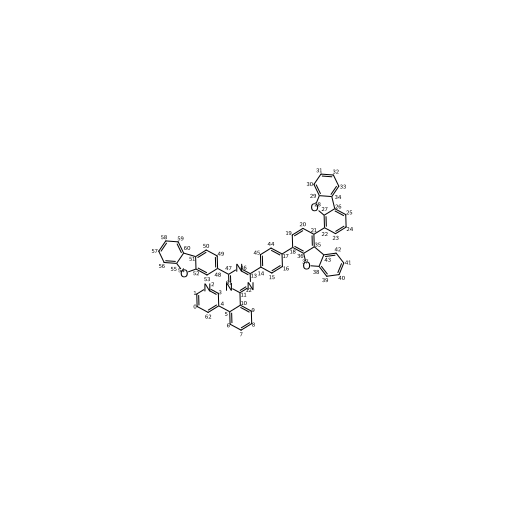 c1cncc(-c2ccccc2-c2nc(-c3ccc(-c4ccc(-c5cccc6c5oc5ccccc56)c5c4oc4ccccc45)cc3)nc(-c3ccc4c(c3)oc3ccccc34)n2)c1